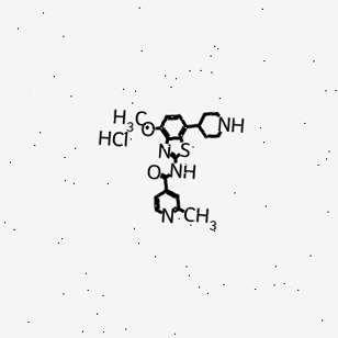 COc1ccc(C2CCNCC2)c2sc(NC(=O)c3ccnc(C)c3)nc12.Cl